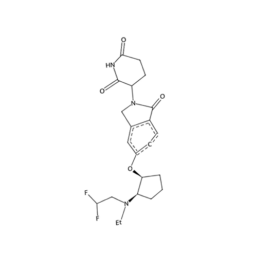 CCN(CC(F)F)[C@@H]1CCC[C@@H]1Oc1ccc2c(c1)CN(C1CCC(=O)NC1=O)C2=O